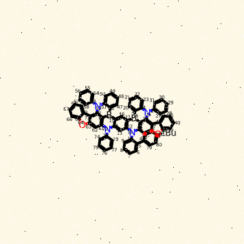 CC(C)(C)c1ccc(-c2ccccc2N2c3cc4c(cc3B3c5ccccc5N(c5ccccc5)c5c3c2cc2oc3ccccc3c52)B2c3ccccc3N(c3ccccc3)c3c2c(cc2oc5ccccc5c32)N4c2ccccc2)cc1